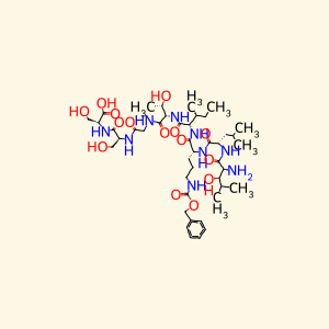 CC[C@H](C)[C@H](NC(=O)[C@@H](CCCNC(=O)OCc1ccccc1)NC(=O)[C@H](CC(C)C)NC(=O)[C@@H](N)[C@H](O)C(C)C)C(=O)N[C@H](C(=O)NCC(=O)N[C@@H](CO)C(=O)N[C@@H](CO)C(=O)O)[C@H](C)O